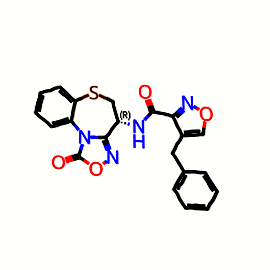 O=C(N[C@H]1CSc2ccccc2-n2c1noc2=O)c1nocc1Cc1ccccc1